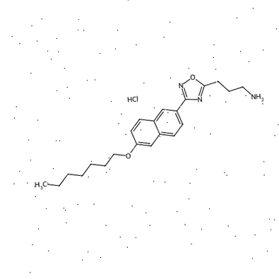 CCCCCCCOc1ccc2cc(-c3noc(CCCN)n3)ccc2c1.Cl